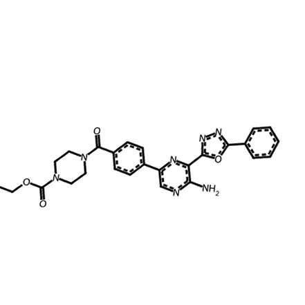 CCOC(=O)N1CCN(C(=O)c2ccc(-c3cnc(N)c(-c4nnc(-c5ccccc5)o4)n3)cc2)CC1